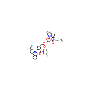 CCNC(=O)C(CCCOC(=O)Cc1ccc(NC(=O)c2ccccc2-c2ccc(C(F)(F)F)cc2)c(C(=O)N(C)C)c1)(C(=O)NCC)c1ccccc1